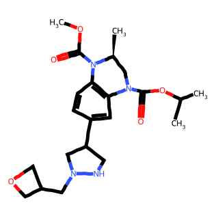 COC(=O)N1c2ccc(C3CNN(CC4COC4)C3)cc2N(C(=O)OC(C)C)C[C@@H]1C